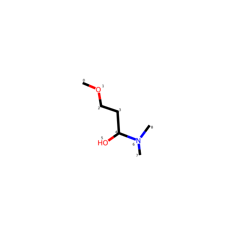 COCCC(O)N(C)C